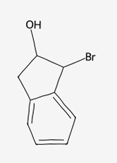 OC1Cc2ccccc2C1Br